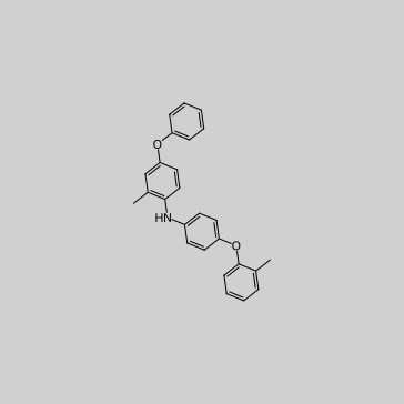 Cc1cc(Oc2ccccc2)ccc1Nc1ccc(Oc2ccccc2C)cc1